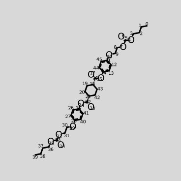 CCCCOC(=O)OCCOc1ccc(OC(=O)[C@H]2CC[C@H](C(=O)Oc3ccc(OCCOC(=O)OCCCC)cc3)CC2)cc1